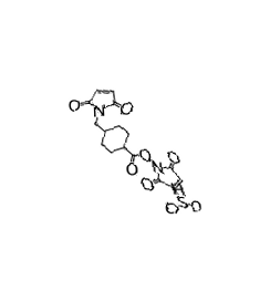 O=C(ON1C(=O)C=C([SH](=O)=O)C1=O)C1CCC(CN2C(=O)C=CC2=O)CC1